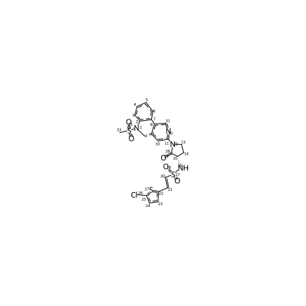 CN(c1ccccc1-c1ccc(N2CC[C@H](NS(=O)(=O)/C=C/c3ccc(Cl)s3)C2=O)nc1)S(C)(=O)=O